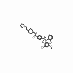 COc1cc(Cl)ccc1Oc1ccccc1NS(=O)(=O)c1ccc(C(=O)NC2CCC(CCN3CCCC3)CC2)cc1